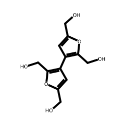 OCc1cc(-c2cc(CO)oc2CO)c(CO)o1